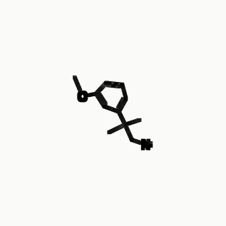 COc1cccc(C(C)(C)C[N])c1